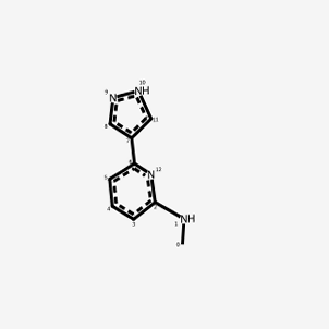 CNc1cccc(-c2cn[nH]c2)n1